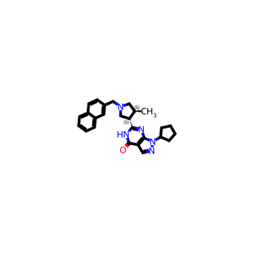 C[C@@H]1CN(Cc2ccc3ccccc3c2)C[C@H]1c1nc2c(cnn2C2CCCC2)c(=O)[nH]1